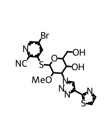 COC1C(Sc2cc(Br)cnc2C#N)OC(CO)C(O)C1n1cc(-c2nccs2)nn1